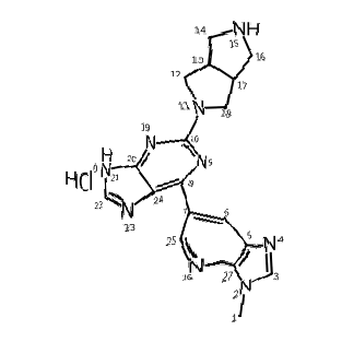 Cl.Cn1cnc2cc(-c3nc(N4CC5CNCC5C4)nc4[nH]cnc34)cnc21